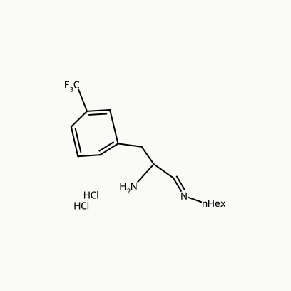 CCCCCCN=CC(N)Cc1cccc(C(F)(F)F)c1.Cl.Cl